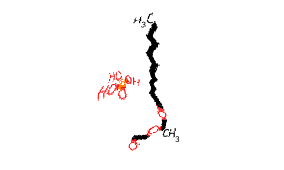 CCCCCCCCCCCCOCC(C)OCC[O].O=P(O)(O)O